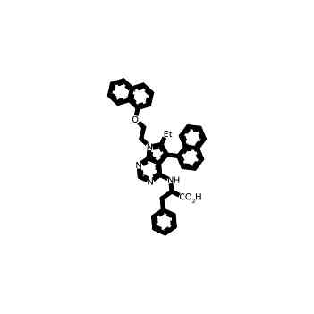 CCc1c(-c2cccc3ccccc23)c2c(NC(Cc3ccccc3)C(=O)O)ncnc2n1CCOc1cccc2ccccc12